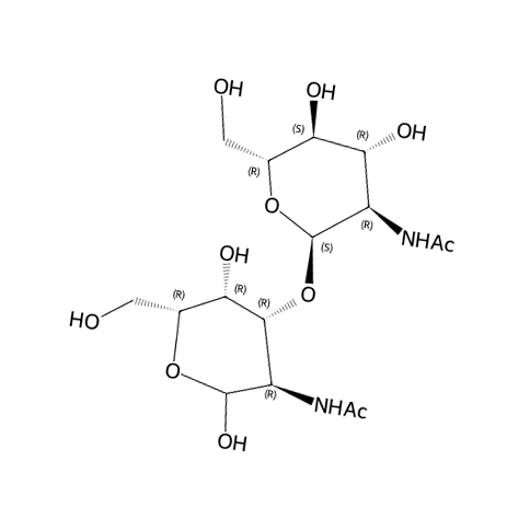 CC(=O)N[C@H]1[C@@H](O[C@H]2[C@@H](O)[C@@H](CO)OC(O)[C@@H]2NC(C)=O)O[C@H](CO)[C@@H](O)[C@@H]1O